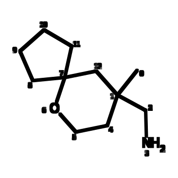 CC1(CN)CCOC2(CCCC2)C1